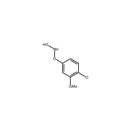 COc1cc(OBO)ccc1Cl